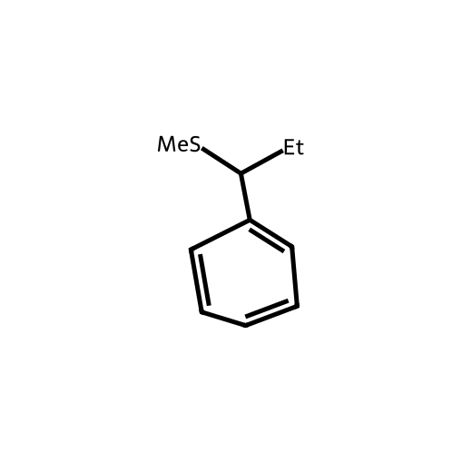 [CH2]CC(SC)c1ccccc1